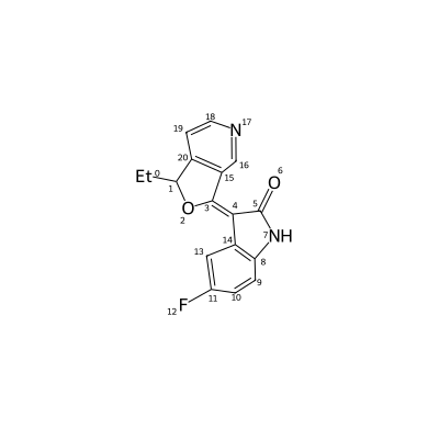 CCC1O/C(=C2/C(=O)Nc3ccc(F)cc32)c2cnccc21